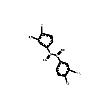 N=S(c1ccc(Cl)c(N)c1)S(=N)c1ccc(Cl)c(N)c1